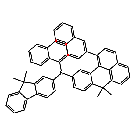 CC1(C)c2ccccc2-c2ccc(N(c3ccc4c(c3)-c3c(-c5ccc6ccccc6c5)ccc5cccc(c35)C4(C)C)c3cccc4ccccc34)cc21